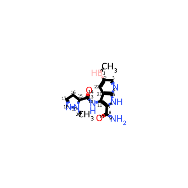 CBc1cnc2[nH]c(C(N)=O)c(NC(=O)C3CC=NN3C)c2c1